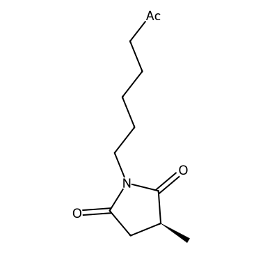 CC(=O)CCCCCN1C(=O)C[C@H](C)C1=O